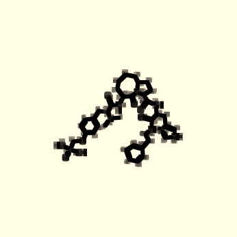 CN(C)[C@@H](Cc1ccc(OCP(=O)(O)O)cc1)C(=O)N[C@H]1CCCCC2CC[C@@H](C(=O)N[C@@H](Cc3c[nH]cn3)C(=O)NCCc3ccccc3)N2C1=O